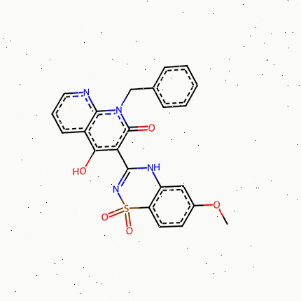 COc1ccc2c(c1)NC(c1c(O)c3cccnc3n(Cc3ccccc3)c1=O)=NS2(=O)=O